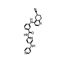 N#CC1CCc2nccc(Nc3cccc(C(=O)Nc4ccc(Nc5ccncc5)cn4)c3)c2C1